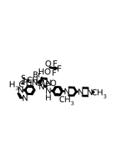 COc1cc(N2CCC(N3CCN(C)CC3)CC2)c(C)cc1Nc1ncc(Br)c(Nc2ccc3nccnc3c2P(C)(C)=S)n1.O=C(O)C(F)(F)F